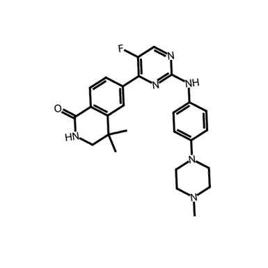 CN1CCN(c2ccc(Nc3ncc(F)c(-c4ccc5c(c4)C(C)(C)CNC5=O)n3)cc2)CC1